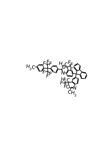 CC1=Nc2ccc(C3(c4ccc5c(c4)C(C)(C(F)(F)F)OC(c4ccc(C(c6ccc(C)cc6)(C(F)(F)F)C(F)(F)F)cc4)=N5)c4ccccc4-c4ccccc43)cc2C(C)(C(F)(F)F)O1